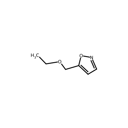 CCOCc1ccno1